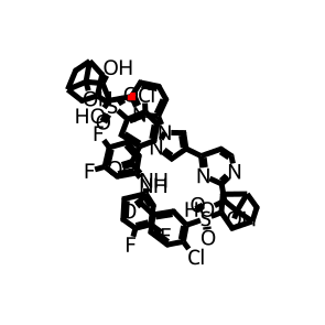 O=C(Nc1ccc(F)c(F)c1)c1ccc(Cl)c(S(=O)(=O)C2CC3CC(C2)C3(O)C(O)c2nccc(-c3cnn(-c4cccc(C(O)C(O)C5(O)C6CC5CC(S(=O)(=O)c5cc(C(=O)Nc7ccc(F)c(F)c7)ccc5Cl)C6)n4)c3)n2)c1